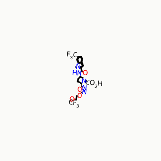 Cn1c(C(=O)N[C@H]2CC[C@H](c3nnc(OCCOC(F)(F)F)o3)N(C(=O)O)C2)cc2ccc(C(F)(F)F)cc21